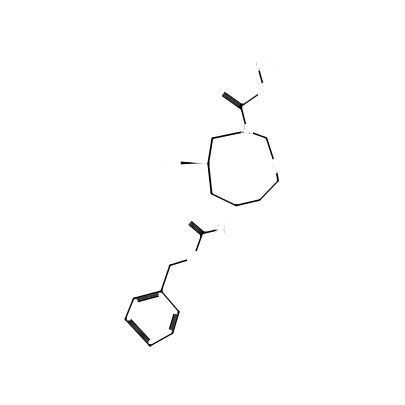 C[C@@H]1C[C@@H](NC(=O)OCc2ccccc2)CCCCN(C(=O)OC(C)(C)C)C1